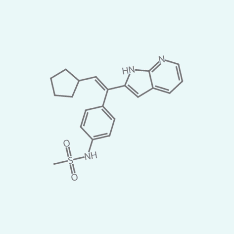 CS(=O)(=O)Nc1ccc(C(=CC2CCCC2)c2cc3cccnc3[nH]2)cc1